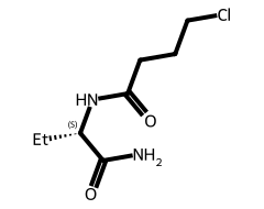 CC[C@H](NC(=O)CCCCl)C(N)=O